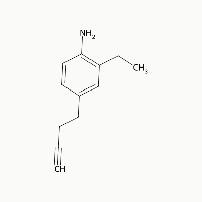 C#CCCc1ccc(N)c(CC)c1